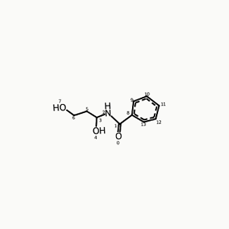 O=C(NC(O)CCO)c1ccccc1